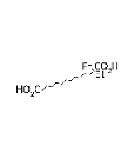 CCC(CC)(CCCCCCCCCCCC(=O)O)C(=O)O